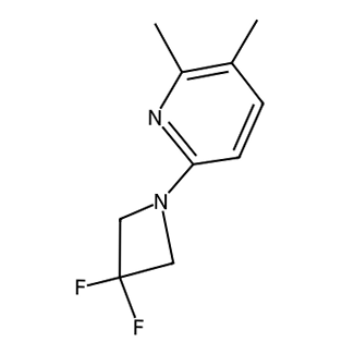 Cc1ccc(N2CC(F)(F)C2)nc1C